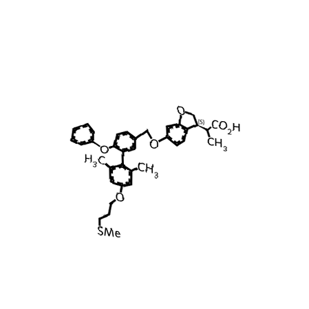 CSCCCOc1cc(C)c(-c2cc(COc3ccc4c(c3)OC[C@H]4C(C)C(=O)O)ccc2Oc2ccccc2)c(C)c1